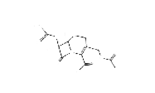 CC(=O)OCC1=C(C(=O)O)N2C(=O)[C@@](Cl)(SC(N)=O)[C@H]2SC1